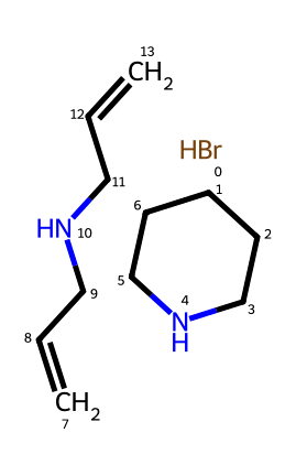 Br.C1CCNCC1.C=CCNCC=C